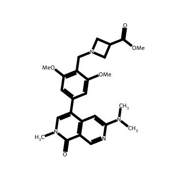 COC(=O)C1CN(Cc2c(OC)cc(-c3cn(C)c(=O)c4cnc(N(C)C)cc34)cc2OC)C1